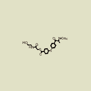 CC(=O)O/N=C(\C)C(=O)c1ccc(Sc2ccc(C(=O)OCC(=O)NCCO)cc2)cc1